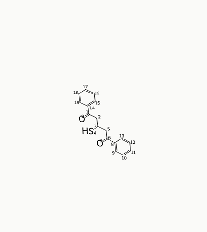 O=C(CC(S)CC(=O)c1ccccc1)c1ccccc1